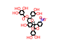 O=C(O[C@@H]1Cc2c(O)cc3c(c2O[C@@H]1c1ccc(O)c(O)c1)[C@@H]1C[C@@](c2ccc(O)c(O)c2)(Oc2ccc([N+](=O)[O-])cc21)O3)c1cc(O)c(O)c(O)c1